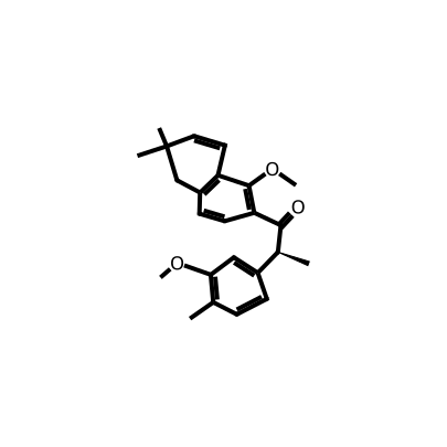 COc1cc([C@H](C)C(=O)c2ccc3c(c2OC)C=CC(C)(C)C3)ccc1C